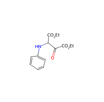 CCOC(=O)C(=O)C(Nc1ccccc1)C(=O)OCC